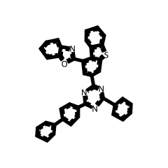 c1ccc(-c2ccc(-c3nc(-c4ccccc4)nc(-c4cc(-c5nc6ccccc6o5)c5c(c4)sc4ccccc45)n3)cc2)cc1